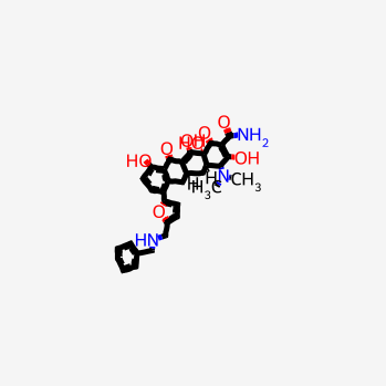 CN(C)C1C(O)=C(C(N)=O)C(=O)[C@]2(O)C(O)=C3C(=O)c4c(O)ccc(-c5ccc(CNCc6ccccc6)o5)c4C[C@@H]3C[C@H]12